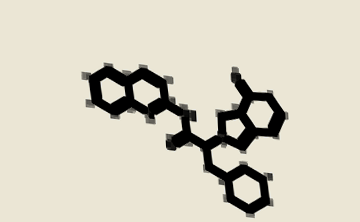 O=C1CC=CC2=CN(C(CC3CCCCC3)C(=O)Nc3ccc4ccccc4n3)CC12